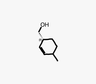 CC1C=C[C@H](CO)CC1